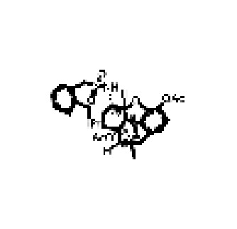 CC(=O)Oc1ccc2c3c1O[C@H]1[C@@H](NS(=O)(=O)Cc4ccccc4CC(C)C)CC[C@@]4(OC(C)=O)[C@@H](C2)N(C)CC[C@]314